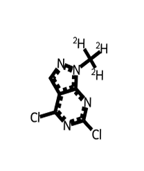 [2H]C([2H])([2H])n1ncc2c(Cl)nc(Cl)nc21